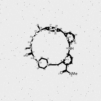 CNC(=O)c1ccc2cc1CN1CCN(CC1)CC(=O)N(C)CCCN(C)c1ccc(cn1)-c1ccnc(n1)N2